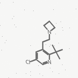 CC(C)(C)c1ncc(Cl)cc1CCN1CCC1